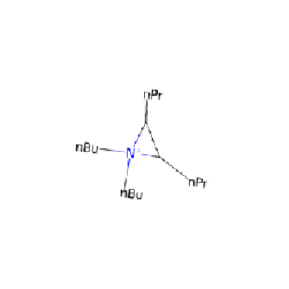 CCCC[N+]1(CCCC)C(CCC)C1CCC